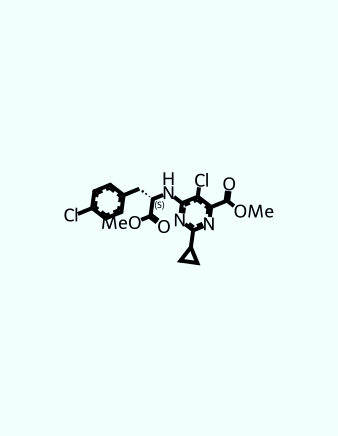 COC(=O)c1nc(C2CC2)nc(N[C@@H](Cc2ccc(Cl)cc2)C(=O)OC)c1Cl